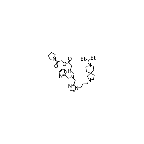 CCC(CC)N1CCC2(CCN(CCCn3ccnc3CN(CCCC(=O)OCC(=O)N3CCCC3)Cc3ncc[nH]3)C2)CC1